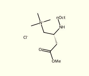 CCCCCCCCN[C@H](CC(=O)OC)C[N+](C)(C)C.[Cl-]